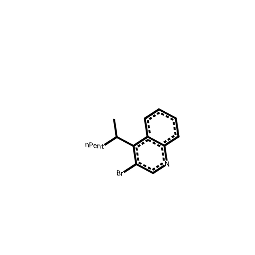 CCCCCC(C)c1c(Br)cnc2ccccc12